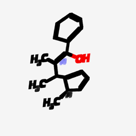 C/C(=C(/O)c1ccccc1)C(C)C1=CC=C[C@H]1C